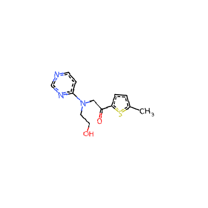 Cc1ccc(C(=O)CN(CCO)c2ccncn2)s1